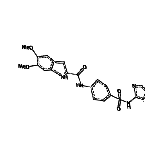 COc1cc2cc(C(=O)Nc3ccc(S(=O)(=O)Nc4nccs4)cc3)[nH]c2cc1OC